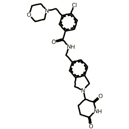 O=C1CCC(N2Cc3ccc(CNC(=O)c4ccc(Cl)c(CN5CCOCC5)c4)cc3C2)C(=O)N1